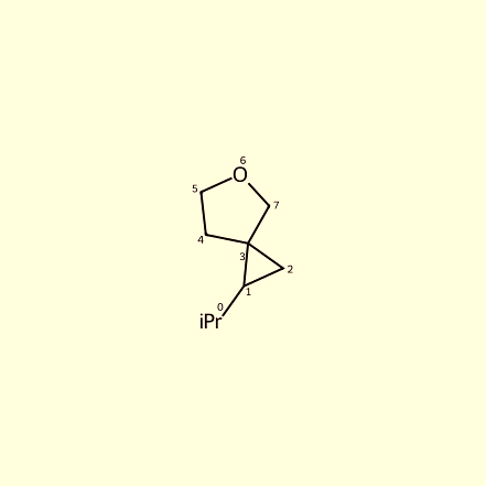 CC(C)C1CC12CCOC2